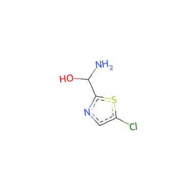 NC(O)c1ncc(Cl)s1